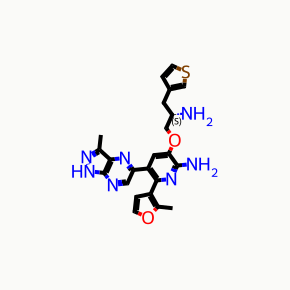 Cc1occc1-c1nc(N)c(OC[C@@H](N)Cc2ccsc2)cc1-c1cnc2[nH]nc(C)c2n1